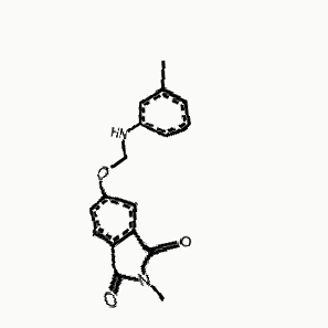 Cc1cccc(NCOc2ccc3c(c2)C(=O)N(C)C3=O)c1